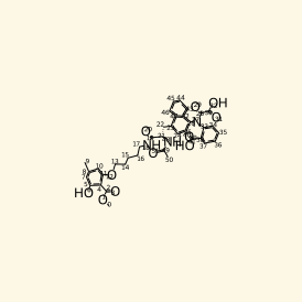 COC(=O)c1c(O)cc(C)cc1OCCCCCNC(=O)[C@H](Cc1ccc(N(C(=O)C(=O)O)c2ccccc2C(=O)O)c2ccccc12)NC(C)=O